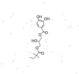 CCC(C)(C)C(=O)OCC(O)COC(=O)c1ccc(O)c(O)c1